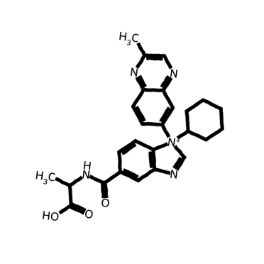 Cc1cnc2cc([N+]3(C4CCCCC4)C=Nc4cc(C(=O)NC(C)C(=O)O)ccc43)ccc2n1